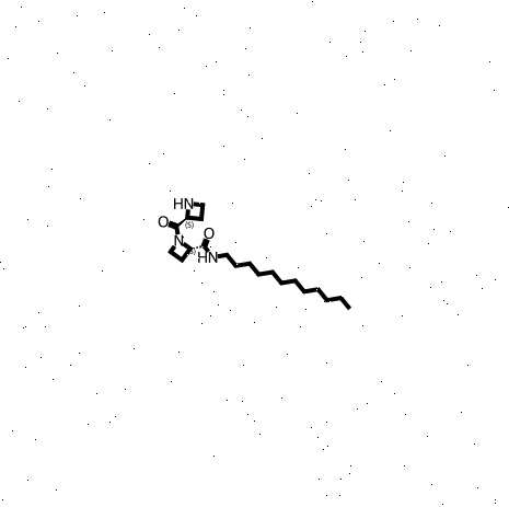 CCCCCCCCCCCCNC(=O)[C@@H]1CCN1C(=O)[C@@H]1CCN1